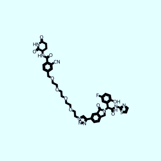 N#Cc1cc(COCCOCCOCCOCCn2cc(-c3ccc4c(c3)C(=O)N(C(C(=O)Nc3nccs3)c3cc(F)ccc3O)C4)nn2)ccc1C(=O)NC1CCC(=O)NC1=O